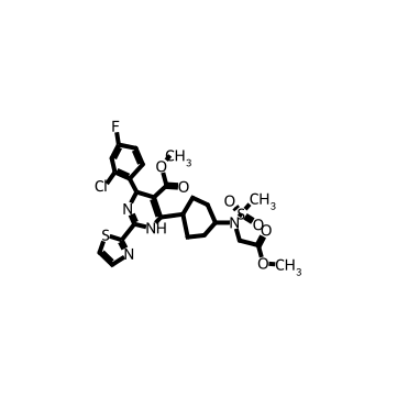 COC(=O)CN(C1CCC(C2=C(C(=O)OC)C(c3ccc(F)cc3Cl)N=C(c3nccs3)N2)CC1)S(C)(=O)=O